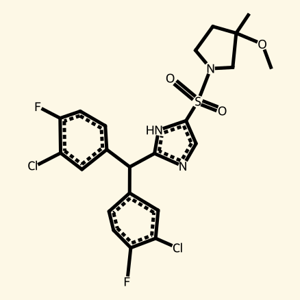 COC1(C)CCN(S(=O)(=O)c2cnc(C(c3ccc(F)c(Cl)c3)c3ccc(F)c(Cl)c3)[nH]2)C1